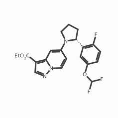 CCOC(=O)c1cnn2ccc(N3CCC[C@@H]3c3cc(OC(F)F)ccc3F)cc12